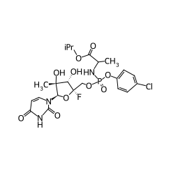 CC(C)OC(=O)C(C)NP(=O)(OC[C@@]1(F)O[C@@H](n2ccc(=O)[nH]c2=O)[C@](C)(O)[C@@H]1O)Oc1ccc(Cl)cc1